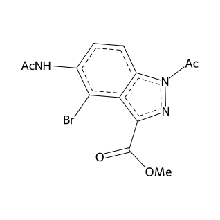 COC(=O)c1nn(C(C)=O)c2ccc(NC(C)=O)c(Br)c12